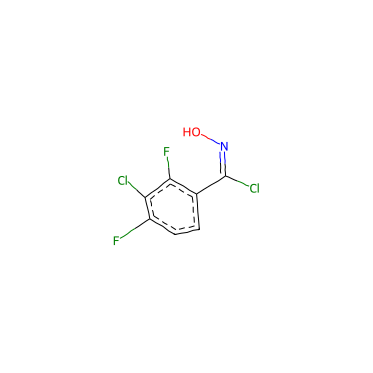 O/N=C(/Cl)c1ccc(F)c(Cl)c1F